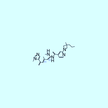 C=C(N/C(=C/C(C)=C/C(=C)c1cncn1C)NC)c1ccnc(N2CC(C)(CCC)C2)c1